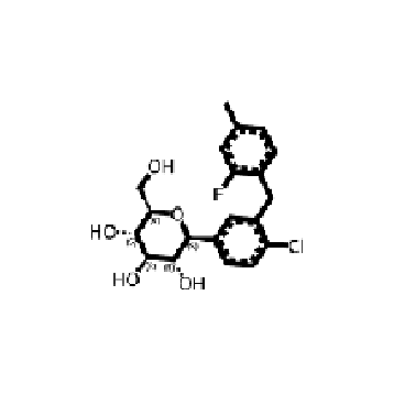 Cc1ccc(Cc2cc([C@@H]3O[C@H](CO)[C@@H](O)[C@H](O)[C@H]3O)ccc2Cl)c(F)c1